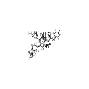 N/C(=N\c1ccccc1Cl)c1cnn2cc(-c3cccc(OC(F)F)c3)cc2c1N[C@@H]1CC[C@H](N)C1